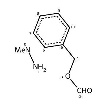 CNN.O=COCc1ccccc1